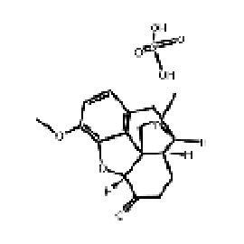 COc1ccc2c3c1O[C@H]1C(=O)CC[C@H]4[C@@H](C2)N(C)CC[C@]314.O=S(=O)(O)O